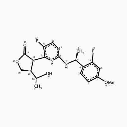 COc1ccc([C@H](C)Nc2ncc(F)c(N3C(=O)OC[C@@H]3[C@@H](C)O)n2)c(F)c1